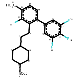 CCCCCCCCC1CCC(CCc2c(-c3cc(F)c(F)c(F)c3)ccc(C(=O)O)c2F)CC1